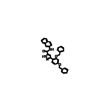 O=C(Nc1ccc2ccccc2c1)c1cc(-c2ccc(OCc3ccccc3)cc2OCc2ccccc2)n[nH]1